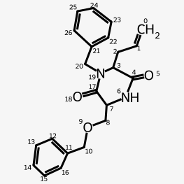 C=CCC1C(=O)NC(COCc2ccccc2)C(=O)N1Cc1ccccc1